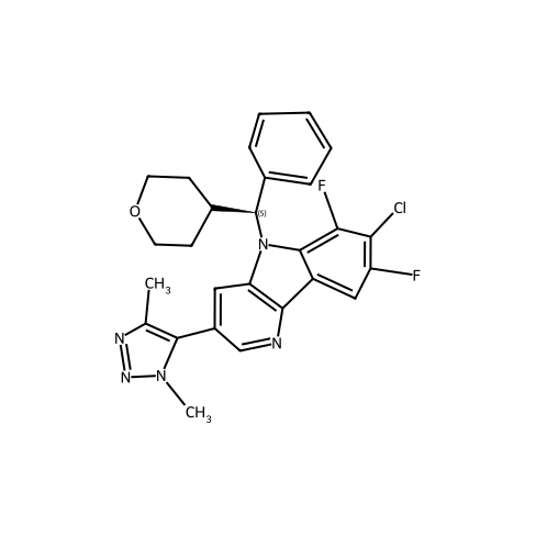 Cc1nnn(C)c1-c1cnc2c3cc(F)c(Cl)c(F)c3n([C@H](c3ccccc3)C3CCOCC3)c2c1